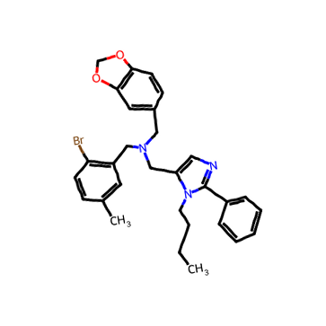 CCCCn1c(CN(Cc2ccc3c(c2)OCO3)Cc2cc(C)ccc2Br)cnc1-c1ccccc1